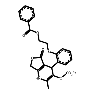 CCOC(=O)OC1=C(C)NC2=C(C(=O)OC2)C1c1ccccc1SCCOC(=O)c1ccccc1